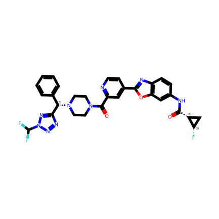 O=C(Nc1ccc2nc(-c3ccnc(C(=O)N4CCN([C@@H](c5ccccc5)c5nnn(C(F)F)n5)CC4)c3)oc2c1)[C@@H]1C[C@@H]1F